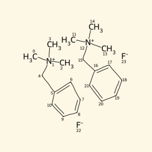 C[N+](C)(C)Cc1ccccc1.C[N+](C)(C)Cc1ccccc1.[F-].[F-]